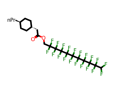 CCC[C@H]1CC[C@H](CC(=O)OCC(F)(F)C(F)(F)C(F)(F)C(F)(F)C(F)(F)C(F)(F)C(F)(F)C(F)(F)C(F)(F)C(F)F)CC1